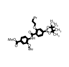 CCC(C)Oc1cc(C(=O)OC)ccc1NC(=O)c1ccc(B2OC(C)(C)C(C)(C)O2)cc1OCCC(C)C